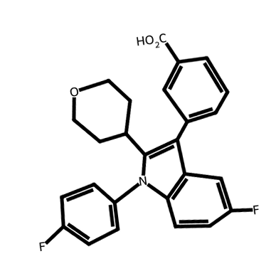 O=C(O)c1cccc(-c2c(C3CCOCC3)n(-c3ccc(F)cc3)c3ccc(F)cc23)c1